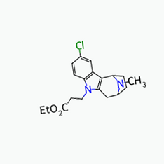 CCOC(=O)CCn1c2c(c3cc(Cl)ccc31)C1CCC(C2)N1C